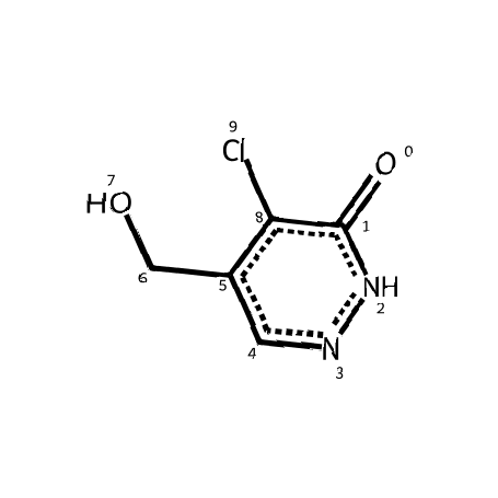 O=c1[nH]ncc(CO)c1Cl